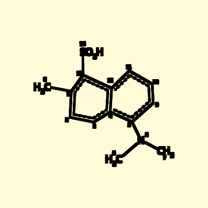 Cc1ccc2c(N(C)C)cccc2c1S(=O)(=O)O